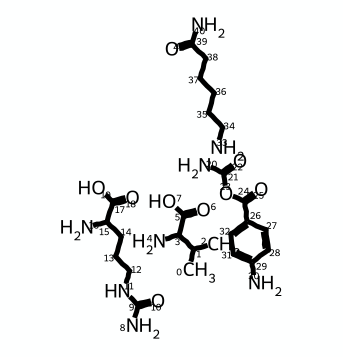 CC(C)C(N)C(=O)O.NC(=O)NCCCC(N)C(=O)O.NC(=O)OC(=O)c1ccc(N)cc1.NCCCCCC(N)=O